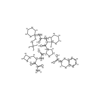 CC(C)(C)SCC1(NC(=O)N[C@H](C(=O)N2C[C@H](OC(=O)N3CCc4ccccc4C3)C[C@H]2C(=O)NC(CC2CCC2)C(=O)C(N)=O)C2(C)CCCCC2)CCCCC1